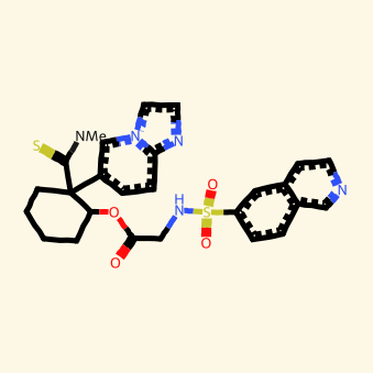 CNC(=S)C1(c2ccc3nccn3c2)CCCCC1OC(=O)CNS(=O)(=O)c1ccc2cnccc2c1